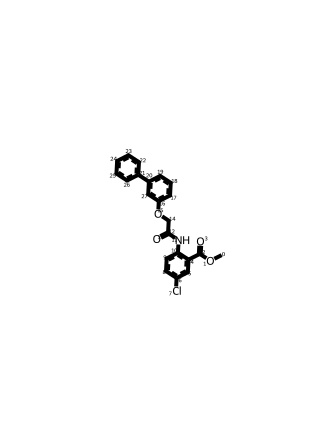 COC(=O)c1cc(Cl)ccc1NC(=O)COc1cccc(-c2ccccc2)c1